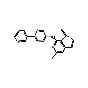 O=C1[N]C=Cc2cc(Cl)nc(Nc3ccc(-c4cccnc4)cc3)c21